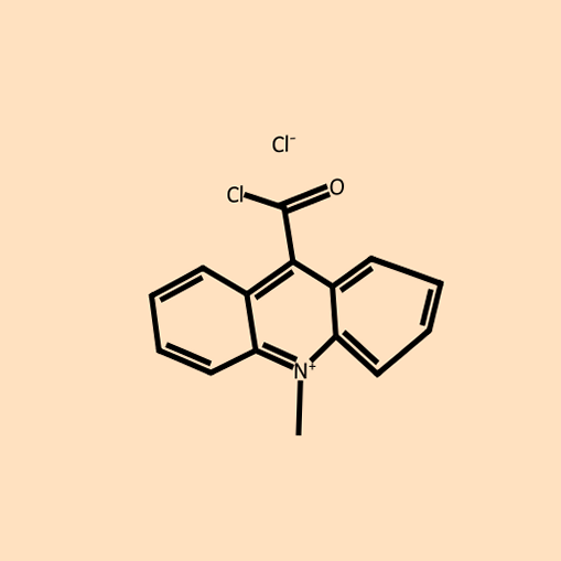 C[n+]1c2ccccc2c(C(=O)Cl)c2ccccc21.[Cl-]